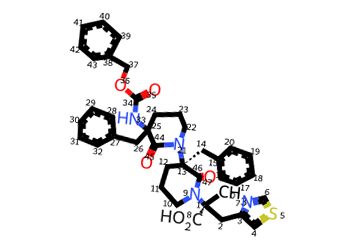 C[C@](Cc1cscn1)(C(=O)O)N1CCC[C@@](Cc2ccccc2)(N2CCCC(Cc3ccccc3)(NC(=O)OCc3ccccc3)C2=O)C1=O